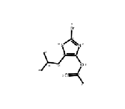 CC(=O)Oc1nc(Br)sc1CC(C)C